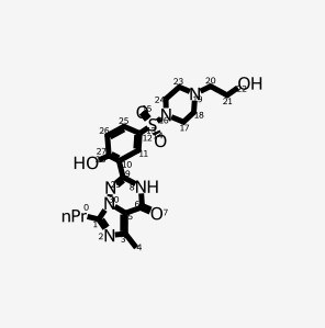 CCCc1nc(C)c2c(=O)[nH]c(-c3cc(S(=O)(=O)N4CCN(CCO)CC4)ccc3O)nn12